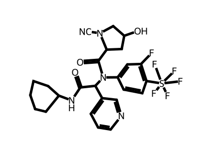 N#CN1CC(O)CC1C(=O)N(c1ccc(S(F)(F)(F)(F)F)c(F)c1)C(C(=O)NC1CCCCC1)c1cccnc1